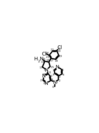 CN(Cc1ccncc1)c1cc(N2CC(N)C(c3ccc(Cl)cc3Cl)C2)ncn1